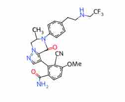 COc1ccc(C(N)=O)c(-c2cnn3c2C(=O)N(c2ccc(CCNCC(F)(F)F)cc2)C(C)C3)c1C#N